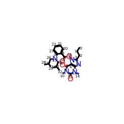 CCCc1nc2c(c(=O)n(C)c(=O)n2C)n1OC(=O)c1ccccc1N(CC(C)C)CC(C)C